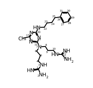 N=C(N)NCCCN(CCCNC(=N)N)c1nc(Cl)nc(NCCCCc2ccccc2)n1